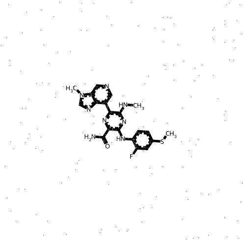 CNc1nc(Nc2ccc(SC)cc2F)c(C(N)=O)nc1-c1cncc2c1ncn2C